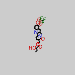 CC[C@@H](O)C(=O)OCc1ccc2n(c1=O)Cc1cc3cc(OS(=O)(=O)C(F)(F)F)ccc3nc1-2